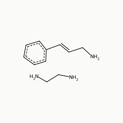 NCC=Cc1ccccc1.NCCN